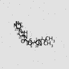 CC(C)Cn1cc(-c2ccc(C(=O)N[C@H]3CCN(c4ccnnc4)C3)s2)cn1